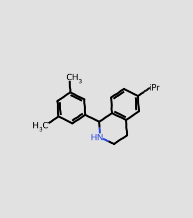 Cc1cc(C)cc(C2NCCc3cc(C(C)C)ccc32)c1